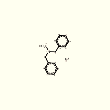 O=C(O)N(Cc1ccccc1)Cc1ccccc1.[Nd]